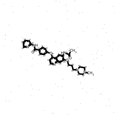 CC(=O)Nc1cc2c(Oc3ccc(C(=O)Nc4ccccn4)cc3)ccnc2cc1OCCCN1CCN(C)CC1